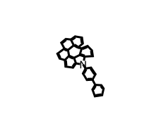 c1ccc(-c2ccc(-n3c4cccc5c4c4c6c(ccc7ccc8cccc-5c8c76)ccc43)cc2)cc1